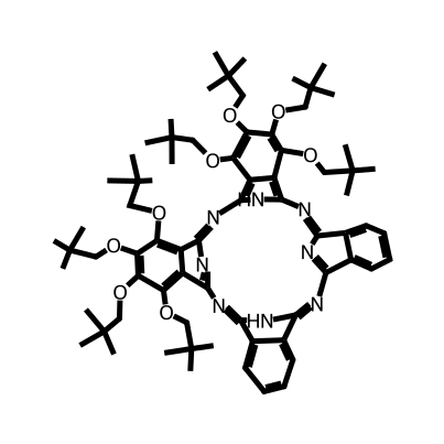 CC(C)(C)COc1c(OCC(C)(C)C)c(OCC(C)(C)C)c2c(c1OCC(C)(C)C)-c1nc-2nc2[nH]c(nc3nc(nc4[nH]c(n1)c1ccccc41)-c1ccccc1-3)c1c(OCC(C)(C)C)c(OCC(C)(C)C)c(OCC(C)(C)C)c(OCC(C)(C)C)c21